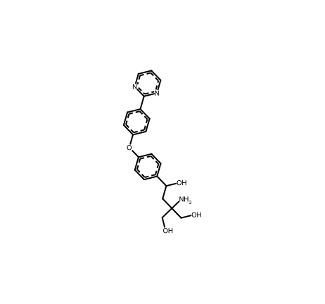 NC(CO)(CO)CC(O)c1ccc(Oc2ccc(-c3ncccn3)cc2)cc1